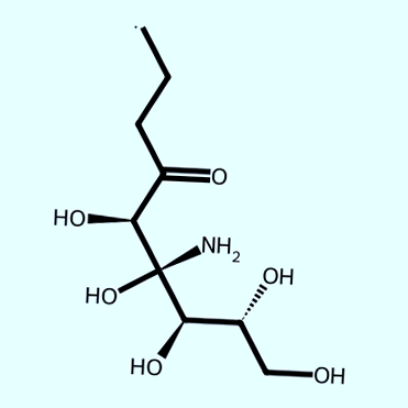 [CH2]CCC(=O)[C@H](O)[C@@](N)(O)[C@H](O)[C@H](O)CO